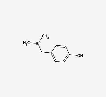 [CH3][Bi]([CH3])[CH2]c1ccc(O)cc1